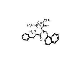 CNC(=O)[C@H](CC(C)C)N(Cc1cccc2ccccc12)C(=O)[C@@H](N)Cc1ccccc1